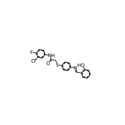 O=C(CSc1ccc(/N=C/c2ccccc2O)cc1)Nc1ccc(F)c(Cl)c1